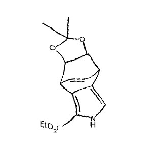 CCOC(=O)c1[nH]cc2c1C1C=CC2C2OC(C)(C)OC12